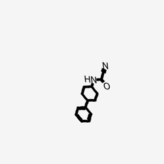 N#CC(=O)NC1CCC(c2ccccc2)CC1